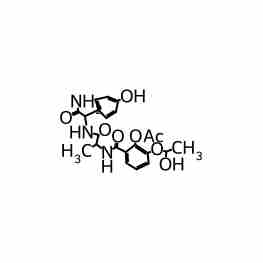 CC(=O)Oc1c(OC(C)O)cccc1C(=O)NC(C)C(=O)NC(C(N)=O)c1ccc(O)cc1